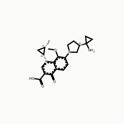 COc1c(N2CC[C@@H](C3(N)CC3)C2)ccc2c(=O)c(C(=O)O)cn([C@@H]3C[C@@H]3F)c12